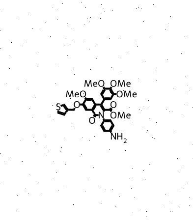 COC(=O)c1c(-c2cc(OC)c(OC)c(OC)c2)c2cc(OC)c(OCc3ccsc3)cc2c(=O)n1-c1ccc(N)cc1